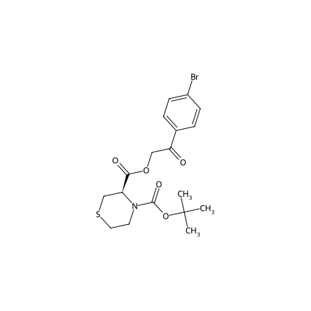 CC(C)(C)OC(=O)N1CCSC[C@H]1C(=O)OCC(=O)c1ccc(Br)cc1